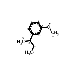 CCC(C)c1cc[c]c(OC)c1